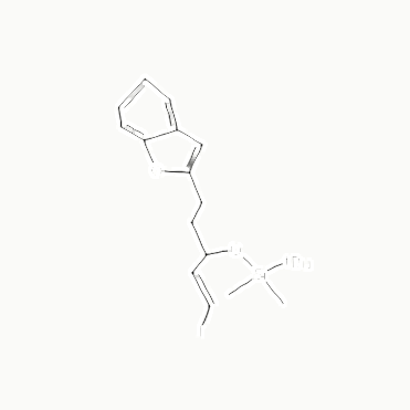 CC(C)(C)[Si](C)(C)OC(C=CI)CCc1cc2ccccc2o1